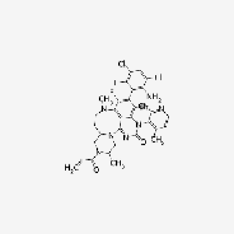 C=CC(=O)N1CC2CCN(C)c3c(F)c(-c4c(N)c(Cl)cc(Cl)c4F)c(Cl)c4c3c(nc(=O)n4-c3c(C)ccnc3C(C)C)N2CC1C